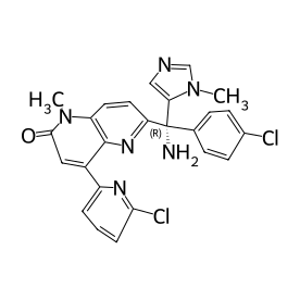 Cn1cncc1[C@@](N)(c1ccc(Cl)cc1)c1ccc2c(n1)c(-c1cccc(Cl)n1)cc(=O)n2C